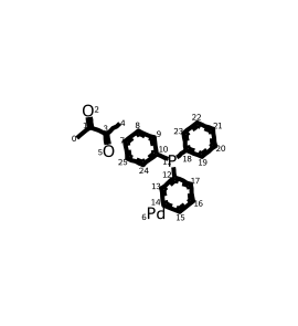 CC(=O)C(C)=O.[Pd].c1ccc(P(c2ccccc2)c2ccccc2)cc1